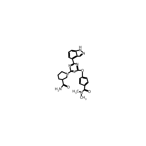 CN(C)C(=O)c1ccc(Oc2nc(-c3cccc4[nH]ncc34)nc(N3CCCC(C(N)=O)C3)n2)cc1